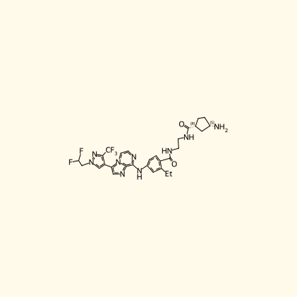 CCc1cc(Nc2nccn3c(-c4cn(CC(F)F)nc4C(F)(F)F)cnc23)ccc1C(=O)NCCNC(=O)[C@@H]1CC[C@H](N)C1